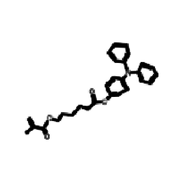 C=C(C)C(=O)OCCCCCC(=O)Oc1ccc(N(c2ccccc2)c2ccccc2)cc1